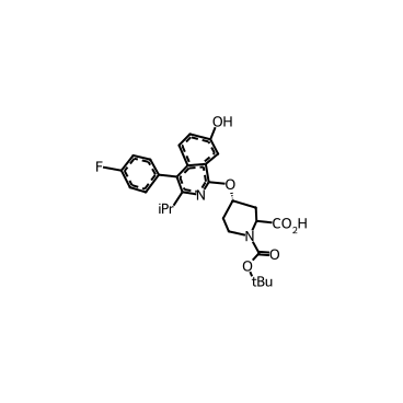 CC(C)c1nc(O[C@H]2CCN(C(=O)OC(C)(C)C)C(C(=O)O)C2)c2cc(O)ccc2c1-c1ccc(F)cc1